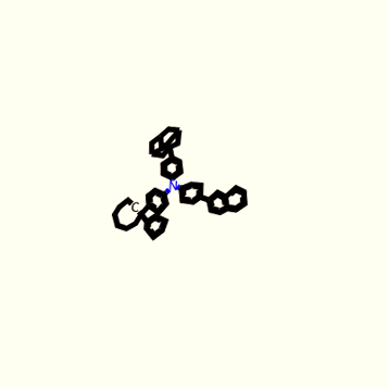 c1ccc(C2(c3ccc(N(c4ccc(-c5ccc6ccccc6c5)cc4)c4ccc(C56CC7CC(CC(C7)C5)C6)cc4)cc3)CCCCCCC2)cc1